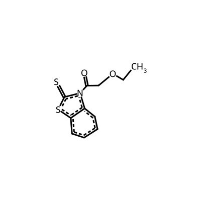 CCOCC(=O)n1c(=S)sc2ccccc21